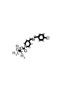 CC(C)(C)OC(=O)N1CCC(CN=Cc2ccc(Cl)cc2)CC1